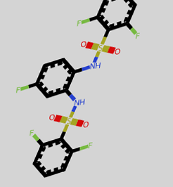 O=S(=O)(Nc1ccc(F)cc1NS(=O)(=O)c1c(F)cccc1F)c1c(F)cccc1F